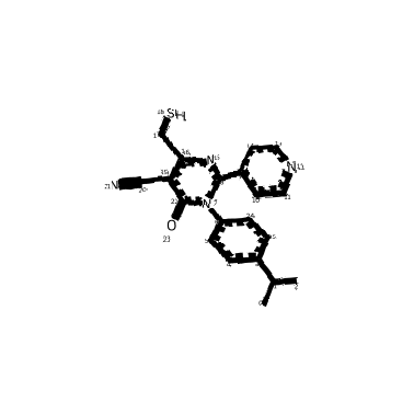 CC(C)c1ccc(-n2c(-c3ccncc3)nc(CS)c(C#N)c2=O)cc1